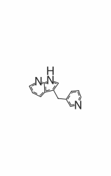 c1cncc(Cc2c[nH]c3ncccc23)c1